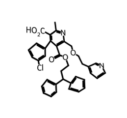 Cc1nc(COCCc2cccnc2)c(C(=O)OCCC(c2ccccc2)c2ccccc2)c(-c2cccc(Cl)c2)c1C(=O)O